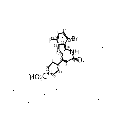 O=C(O)N1CCC(c2cc(=O)[nH]c3c4c(Br)ccc(F)c4nn23)CC1